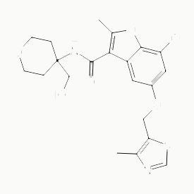 Cc1ncsc1COc1cc(Cl)c2oc(C)c(C(=O)NC3(CO)CCOCC3)c2c1